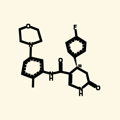 Cc1ccc(N2CCOCC2)cc1NC(=O)C1=CNC(=O)C[C@H]1c1ccc(F)cc1